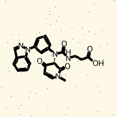 CN1C=CC(=O)[C@H](N(C(=O)NCCC(=O)O)c2cccc(-n3ncc4ccccc43)c2)C1=O